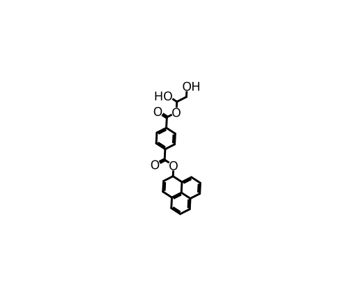 O=C(OC(O)CO)c1ccc(C(=O)OC2C=Cc3cccc4cccc2c34)cc1